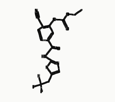 CCOC(=O)Oc1cc(C(=O)Nc2ncc(CC(F)(F)F)s2)ccc1C#N